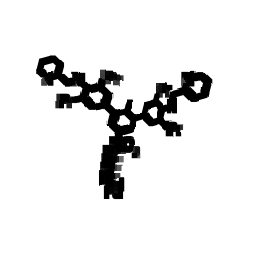 Cc1c(-c2cc(C(C)C)c(N=Cc3ccccn3)c(C(C)C)c2)cc([N+](=O)[O-])cc1-c1cc(C(C)C)c(N=Cc2ccccn2)c(C(C)C)c1.[Br-].[Br-].[Br-].[Br-].[Pd].[Pd]